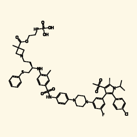 Cc1cc(S(=O)(=O)Nc2ccc(N3CCN(c4cc(F)cc(-c5c(S(C)(=O)=O)c(C)n(C(C)C)c5-c5ccc(Cl)cc5)c4)CC3)cc2)ccc1N[C@H](CCN1CC(C)(C(=O)OCCPP(=O)(O)O)C1)CSc1ccccc1